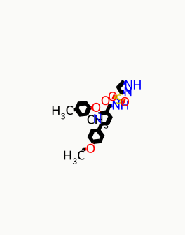 CCOc1ccc(-c2ccc(C(=O)NS(=O)(=O)c3cc[nH]n3)c(Oc3ccc(C)cc3C)n2)cc1